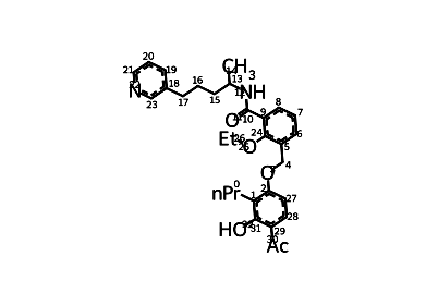 CCCc1c(OCc2cccc(C(=O)NC(C)CCCc3cccnc3)c2OCC)ccc(C(C)=O)c1O